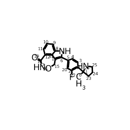 CC1(c2ccc(-c3[nH]c4cccc5c4c3CONC5=O)cc2F)CCCN1